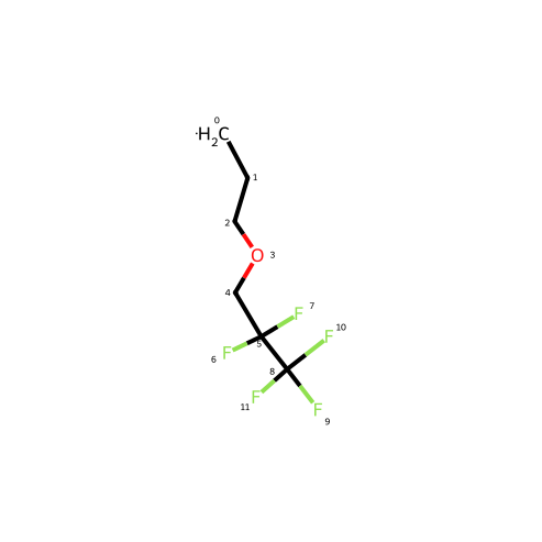 [CH2]CCOCC(F)(F)C(F)(F)F